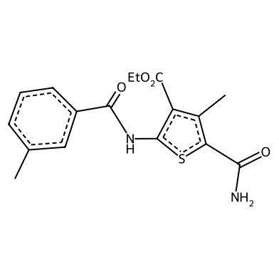 CCOC(=O)c1c(NC(=O)c2cccc(C)c2)sc(C(N)=O)c1C